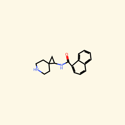 O=C(NC1CC12CCNCC2)c1cccc2ccccc12